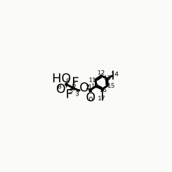 O=C(OCC(F)(F)C(=O)O)c1ccc(I)cc1I